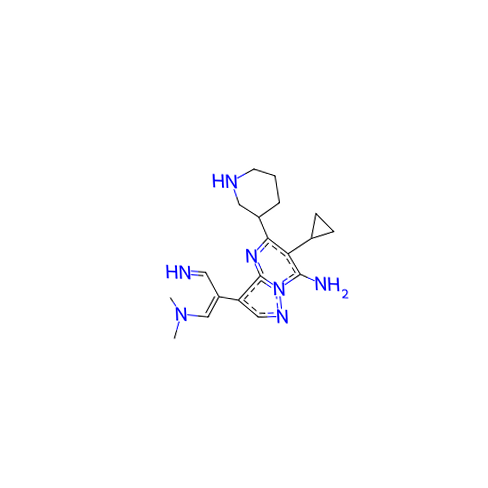 CN(C)/C=C(\C=N)c1cnn2c(N)c(C3CC3)c(C3CCCNC3)nc12